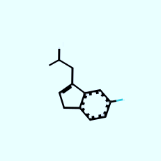 CC(C)CC1=CCc2ccc(F)cc21